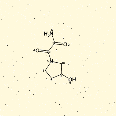 NC(=O)C(=O)N1CCC(O)C1